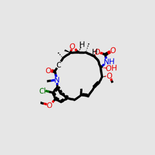 COc1cc2cc(c1Cl)N(C)C(=O)C[C@H](C)[C@]1(C)O[C@H]1[C@H](C)[C@@H]1C[C@@](O)(NC(=O)O1)[C@H](OC)/C=C/C=C(\C)C2